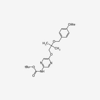 COc1ccc(COC(C)(C)COc2cnc(NC(=O)OC(C)(C)C)cn2)cc1